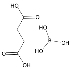 O=C(O)CCC(=O)O.OB(O)O